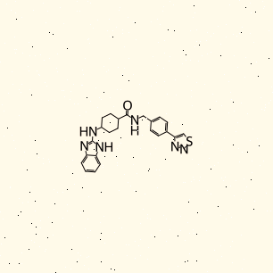 O=C(NCc1ccc(-c2csnn2)cc1)C1CCC(Nc2nc3ccccc3[nH]2)CC1